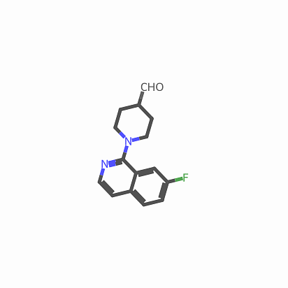 O=CC1CCN(c2nccc3ccc(F)cc23)CC1